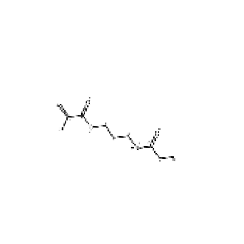 C=C(C)C(=O)OCCCNC(=O)CC